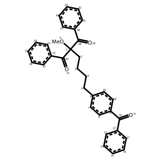 COC(CCCCc1ccc(C(=O)c2ccccc2)cc1)(C(=O)c1ccccc1)C(=O)c1ccccc1